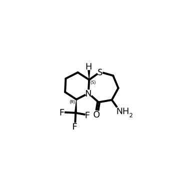 NC1CCS[C@H]2CCC[C@H](C(F)(F)F)N2C1=O